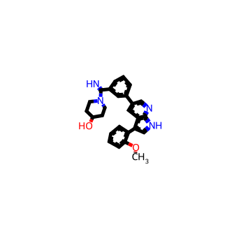 COc1ccccc1-c1c[nH]c2ncc(-c3cccc(C(=N)N4CCC(O)CC4)c3)cc12